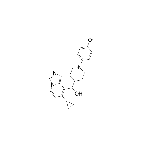 COc1ccc(N2CCC(C(O)c3c(C4CC4)ccn4cncc34)CC2)cc1